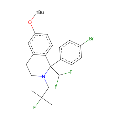 CCCCOc1ccc2c(c1)CCN(CC(C)(C)F)C2(c1ccc(Br)cc1)C(F)F